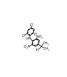 CCC(C)(C)c1cc([N+](=O)[O-])c(Nc2c(Cl)cc(Cl)cc2Cl)c([N+](=O)[O-])c1